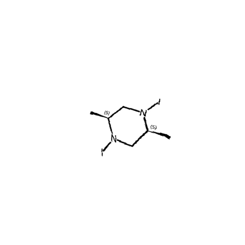 C[C@H]1CN(I)[C@@H](C)CN1I